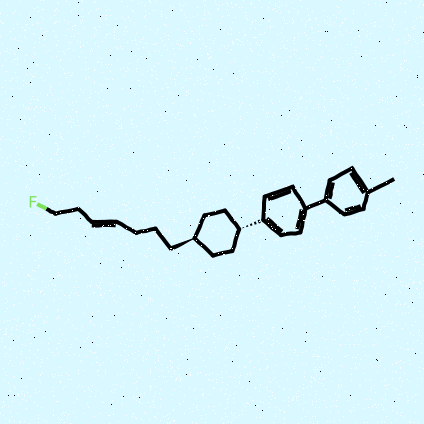 Cc1ccc(-c2ccc([C@H]3CC[C@H](CCC/C=C/CCF)CC3)cc2)cc1